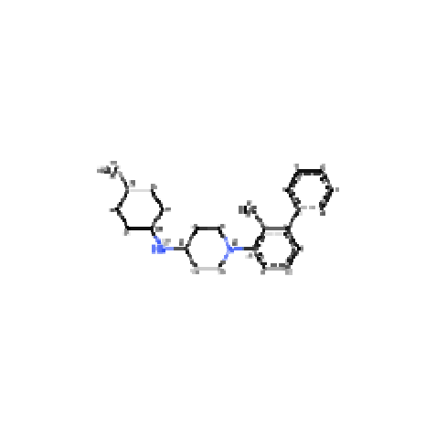 Cc1c(-c2ccccc2)cccc1N1CCC(NC2CCC(C(=O)O)CC2)CC1